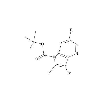 Cc1c(Br)c2ncc(F)cc2n1C(=O)OC(C)(C)C